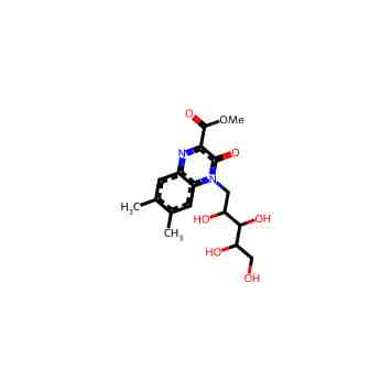 COC(=O)c1nc2cc(C)c(C)cc2n(CC(O)C(O)C(O)CO)c1=O